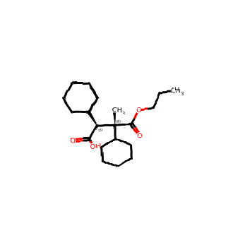 CCCOC(=O)[C@](C)(C1CCCCC1)[C@@H](C(=O)O)C1CCCCC1